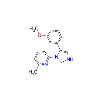 COc1cccc(C2=CNCN2c2cccc(C)n2)c1